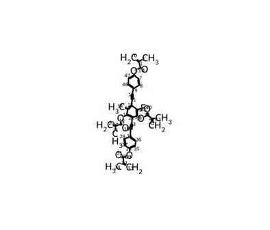 C=C(C)C(=O)Oc1ccc(C#Cc2c(C)c(OC(=O)C(=C)C)c(C#Cc3ccc(OC(=O)C(=C)C)cc3)c(OC(=O)C(=C)C)c2F)cc1